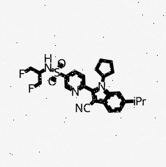 CC(C)c1ccc2c(C#N)c(-c3ccc(S(=O)(=O)NC(CF)CF)cn3)n(C3CCCC3)c2c1